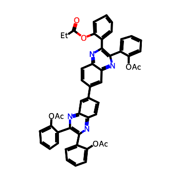 CCC(=O)Oc1ccccc1-c1nc2ccc(-c3ccc4nc(-c5ccccc5OC(C)=O)c(-c5ccccc5OC(C)=O)nc4c3)cc2nc1-c1ccccc1OC(C)=O